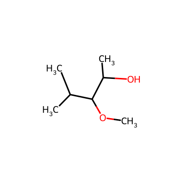 COC(C(C)C)C(C)O